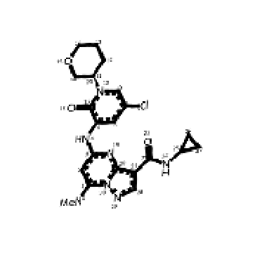 CNc1cc(Nc2cc(Cl)cn([C@@H]3CCCOC3)c2=O)nc2c(C(=O)NC3CC3)cnn12